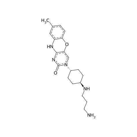 Cc1ccc2c(c1)Nc1nc(=O)n([C@H]3CC[C@H](NCCCN)CC3)cc1O2